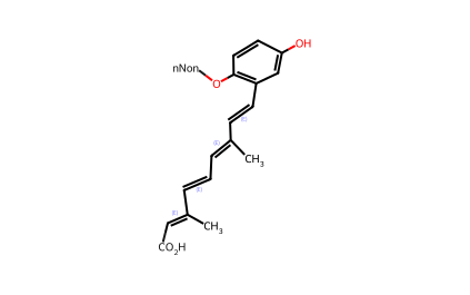 CCCCCCCCCOc1ccc(O)cc1/C=C/C(C)=C/C=C/C(C)=C/C(=O)O